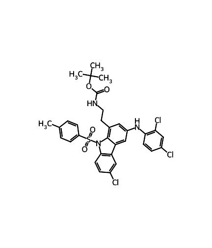 Cc1ccc(S(=O)(=O)n2c3ccc(Cl)cc3c3cc(Nc4ccc(Cl)cc4Cl)cc(CCNC(=O)OC(C)(C)C)c32)cc1